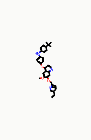 C=CC1CN2CCC1CC2COc1cc2nccc(Oc3ccc(Nc4ccc(C(C)(C)C)cc4)cc3)c2cc1OC